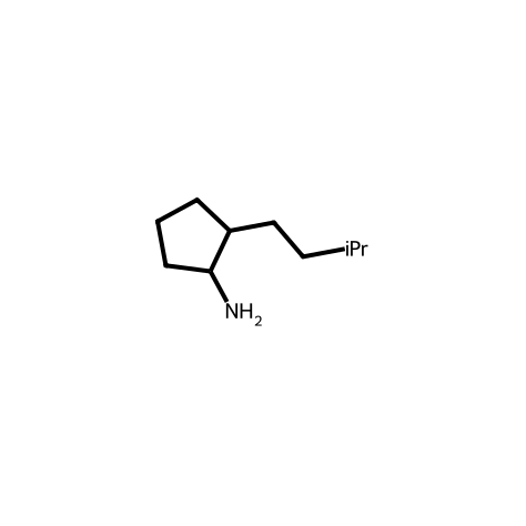 CC(C)CCC1CCCC1N